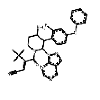 CC(C)(C)C(=CC#N)C(=O)N1CCC(N)C(c2ccc(Oc3ccccc3)cc2F)C1n1ncc2cncnc21